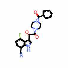 N#Cc1ccc(F)c2c(C(=O)C(=O)N3CCN(C(=O)c4ccccc4)CC3)c[nH]c12